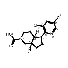 O=C(O)N1CC[C@H]2[C@H](CCN2c2ncc(Cl)cc2Cl)C1